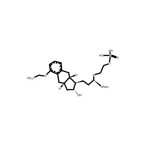 CCCCC[C@@H](CC[C@@H]1[C@H]2Cc3cccc(OCC(=O)O)c3C[C@H]2C[C@H]1O)OCCOP(=O)(O)O